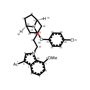 COc1cccc2c(C(C)=O)cn(CCCN3[C@@H]4CC[C@H]3C[C@@H](Oc3ccc(Cl)cc3)C4)c12